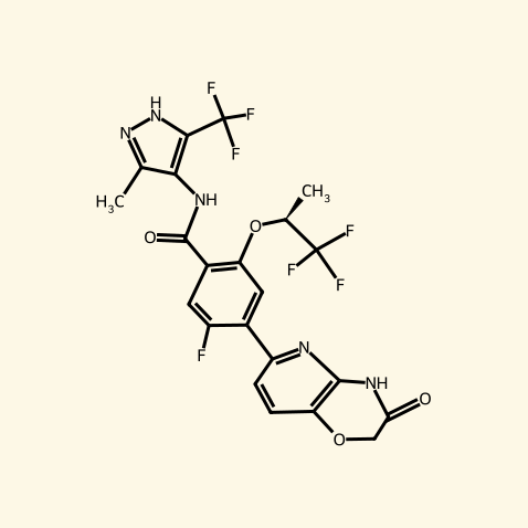 Cc1n[nH]c(C(F)(F)F)c1NC(=O)c1cc(F)c(-c2ccc3c(n2)NC(=O)CO3)cc1O[C@@H](C)C(F)(F)F